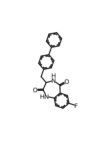 O=C1NC(Cc2ccc(-c3ccccc3)cc2)C(=O)Nc2ccc(F)cc21